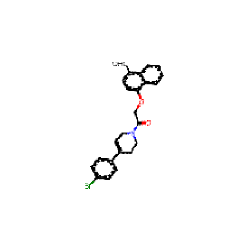 O=Cc1ccc(OCC(=O)N2CC=C(c3ccc(Br)cc3)CC2)c2ccccc12